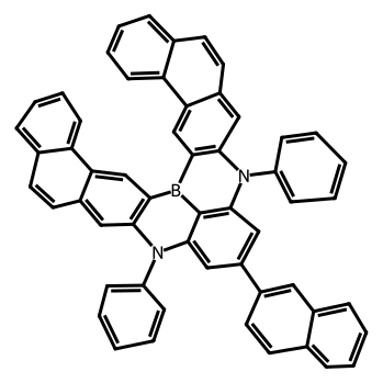 c1ccc(N2c3cc4ccc5ccccc5c4cc3B3c4cc5c(ccc6ccccc65)cc4N(c4ccccc4)c4cc(-c5ccc6ccccc6c5)cc2c43)cc1